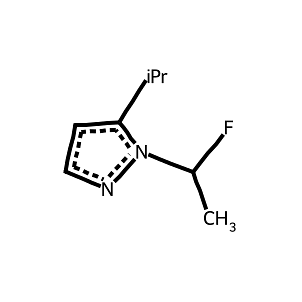 CC(C)c1ccnn1C(C)F